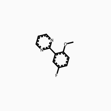 COc1ccc(F)cc1-c1ncccn1